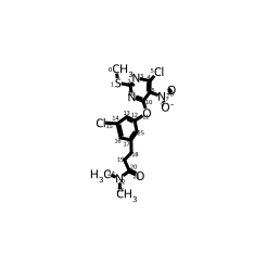 CSc1nc(Cl)c([N+](=O)[O-])c(Oc2cc(Cl)cc(CCC(=O)N(C)C)c2)n1